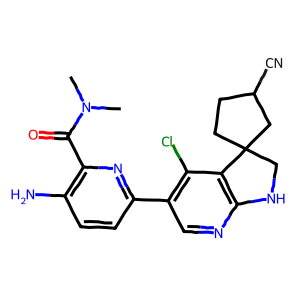 CN(C)C(=O)c1nc(-c2cnc3c(c2Cl)C2(CCC(C#N)C2)CN3)ccc1N